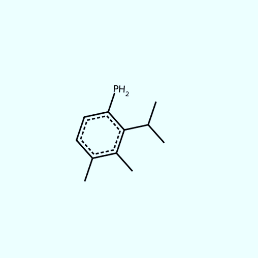 Cc1ccc(P)c(C(C)C)c1C